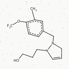 Cc1cc(CN2CC=CN2CCCO)ccc1OC(F)(F)F